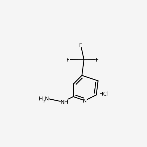 Cl.NNc1cc(C(F)(F)F)ccn1